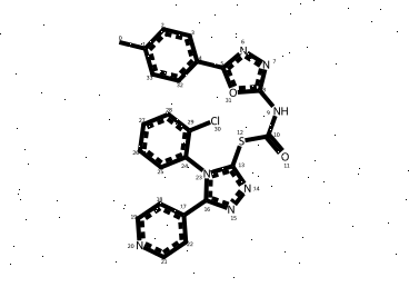 Cc1ccc(-c2nnc(NC(=O)Sc3nnc(-c4ccncc4)n3-c3ccccc3Cl)o2)cc1